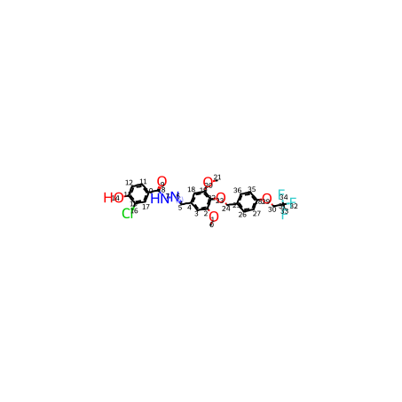 COc1cc(/C=N/NC(=O)c2ccc(O)c(Cl)c2)cc(OC)c1OCc1ccc(OCC(F)(F)F)cc1